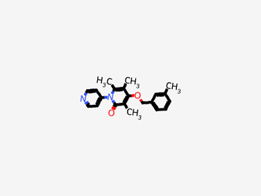 Cc1cccc(COc2c(C)c(C)n(-c3ccncc3)c(=O)c2C)c1